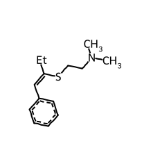 CCC(=Cc1ccccc1)SCCN(C)C